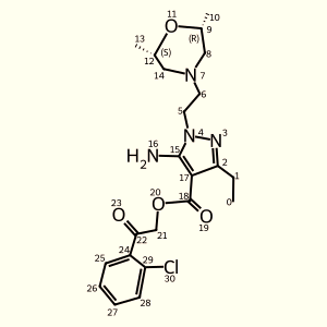 CCc1nn(CCN2C[C@@H](C)O[C@@H](C)C2)c(N)c1C(=O)OCC(=O)c1ccccc1Cl